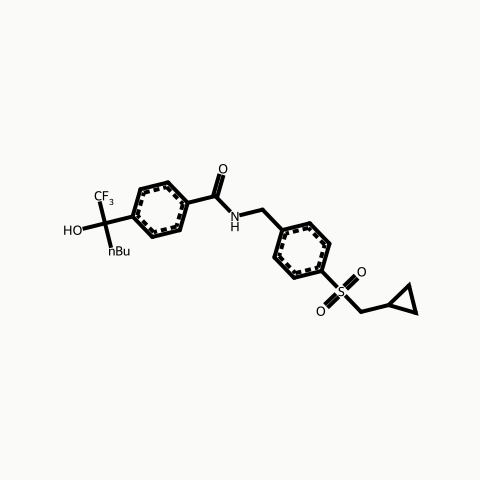 CCCCC(O)(c1ccc(C(=O)NCc2ccc(S(=O)(=O)CC3CC3)cc2)cc1)C(F)(F)F